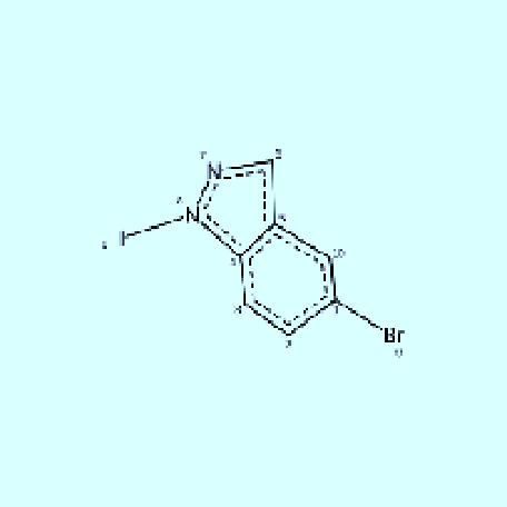 Brc1ccc2c(cnn2I)c1